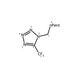 CCCCCCn1nnnc1C(F)(F)F